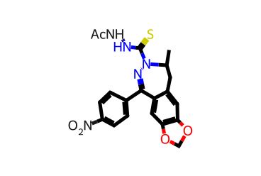 CC(=O)NNC(=S)N1N=C(c2ccc([N+](=O)[O-])cc2)c2cc3c(cc2CC1C)OCO3